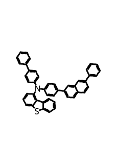 c1ccc(-c2ccc(N(c3ccc(-c4ccc5ccc(-c6ccccc6)cc5c4)cc3)c3cccc4sc5ccccc5c34)cc2)cc1